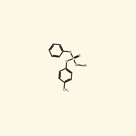 CCCOP(=S)(Oc1ccccc1)Oc1ccc(C)cc1